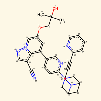 CC(C)(O)COc1cc(-c2ccc(N3CC4CC(C3)N4CC#Cc3ccccn3)nc2)c2c(C#N)cnn2c1